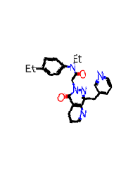 CCc1ccc(N(CC)C(=O)Cn2nc(Cc3cccnc3)c3c(c2=O)CCC=N3)cc1